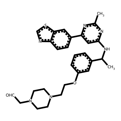 Cc1nc(NC(C)c2cccc(OCCN3CCN(CC=O)CC3)c2)cc(-c2ccc3ncsc3c2)n1